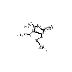 CCCc1c(O)nn(C)c1CC